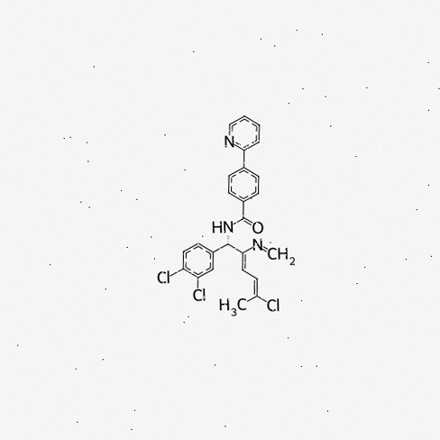 C=N/C(=C\C=C(/C)Cl)[C@@H](NC(=O)c1ccc(-c2ccccn2)cc1)c1ccc(Cl)c(Cl)c1